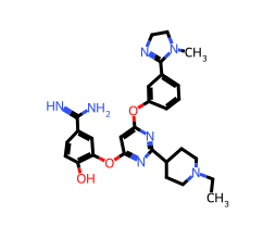 CCN1CCC(c2nc(Oc3cccc(C4=NCCN4C)c3)cc(Oc3cc(C(=N)N)ccc3O)n2)CC1